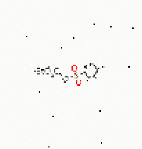 CCOC(=O)[C@@H]1CC1S(=O)(=O)c1ccc(C)cc1